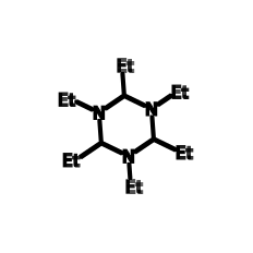 CCC1N(CC)C(CC)N(CC)C(CC)N1CC